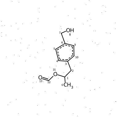 CC(Cc1ccc(CO)cc1)OC=O